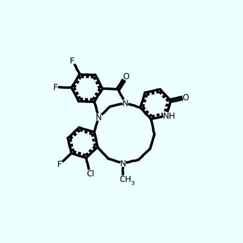 CN1CCCc2[nH]c(=O)ccc2N2CN(c3cc(F)c(F)cc3C2=O)c2ccc(F)c(Cl)c2C1